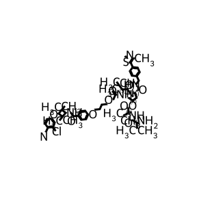 Cc1ncsc1-c1ccc(CNC(=O)[C@@H]2C[C@@H](OC(=O)[C@@H](NC(=O)[C@@H](N)C(C)C)C(C)C)CN2C(=O)[C@@H](NC(=O)COCCCCOc2ccc(C(=O)N[C@H]3C(C)(C)[C@H](Oc4ccc(C#N)c(Cl)c4)C3(C)C)cc2)C(C)(C)C)cc1